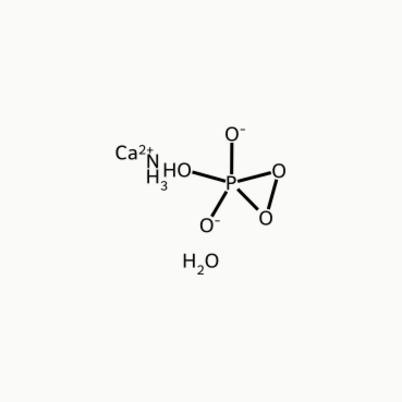 N.O.[Ca+2].[O-]P1([O-])(O)OO1